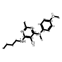 CCCCNc1nc(C)nc(N(C)c2ccc(OC)cc2)c1Cl